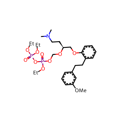 CCOP(=O)(OCC)OP(=O)(OCC)OCO[C@@H](CCN(C)C)COc1ccccc1CCc1cccc(OC)c1